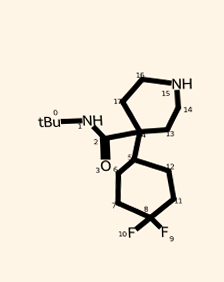 CC(C)(C)NC(=O)C1(C2CCC(F)(F)CC2)CCNCC1